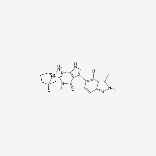 Cc1c2c(Cl)c(-c3c[nH]c4nc(N5C6CC[C@H]5C[C@H]6N)n(C)c(=O)c34)ccc2nn1C